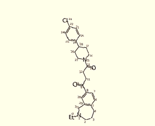 CCN1CCCc2ccc(C(=O)CCC(=O)N3CCC(c4ccc(Cl)cc4)CC3)cc2C1